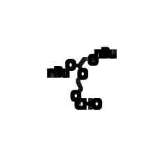 CCCCOCC(OCCCC)OCCOC=O